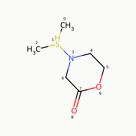 C[SH](C)N1CCOC(=O)C1